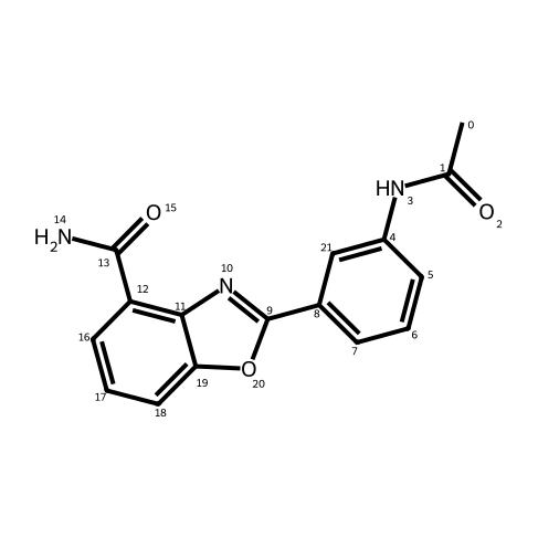 CC(=O)Nc1cccc(-c2nc3c(C(N)=O)cccc3o2)c1